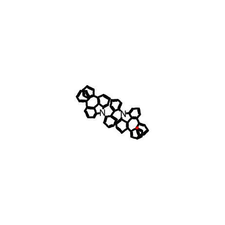 c1ccc(-c2cccc3c2c2c(-c4ccccc4)cccc2n3-c2ccccc2-c2ccccc2-n2c3cccc(-c4ccccc4)c3c3c(-c4ccccc4)cccc32)cc1